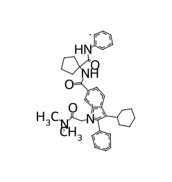 CN(C)C(=O)Cn1c(-c2ccccc2)c(C2CCCCC2)c2ccc(C(=O)NC3(C(=O)Nc4[c]cccc4)CCCC3)cc21